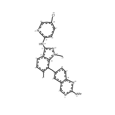 CNc1ncc2cc(-c3c(C)ccc4c(Nc5ccc(Cl)cn5)nn(C)c34)ccc2n1